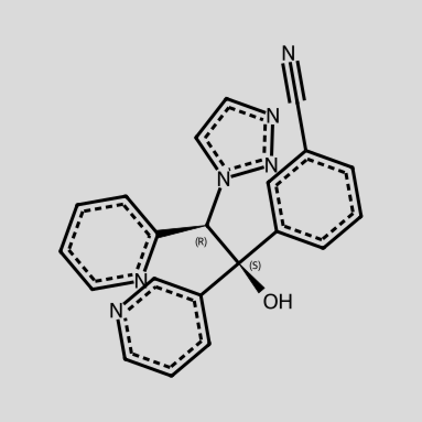 N#Cc1cccc([C@](O)(c2cccnc2)[C@@H](c2ccccn2)n2ccnn2)c1